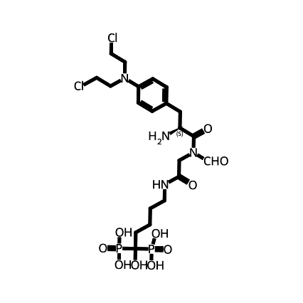 N[C@@H](Cc1ccc(N(CCCl)CCCl)cc1)C(=O)N(C=O)CC(=O)NCCCCC(O)(P(=O)(O)O)P(=O)(O)O